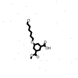 COC(=O)C1CC(OCCCCCCCl)CC(C(=O)O)C1